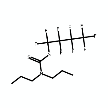 CCCN(CCC)C(=S)SC(F)(F)C(F)(F)C(F)(F)C(F)(F)F